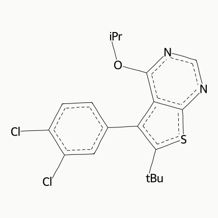 CC(C)Oc1ncnc2sc(C(C)(C)C)c(-c3ccc(Cl)c(Cl)c3)c12